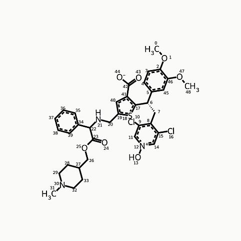 COc1ccc([C@H](Cc2c(Cl)c[n+](O)cc2Cl)c2sc(CNC(C(=O)OCC3CCN(C)CC3)c3ccccc3)cc2C(=O)[O-])cc1OC